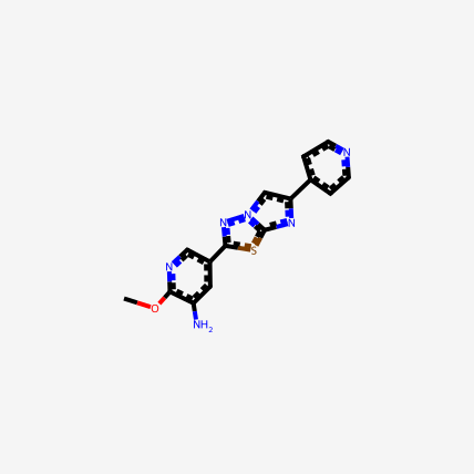 COc1ncc(-c2nn3cc(-c4ccncc4)nc3s2)cc1N